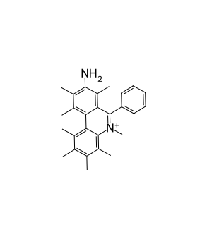 Cc1c(N)c(C)c2c(-c3ccccc3)[n+](C)c3c(C)c(C)c(C)c(C)c3c2c1C